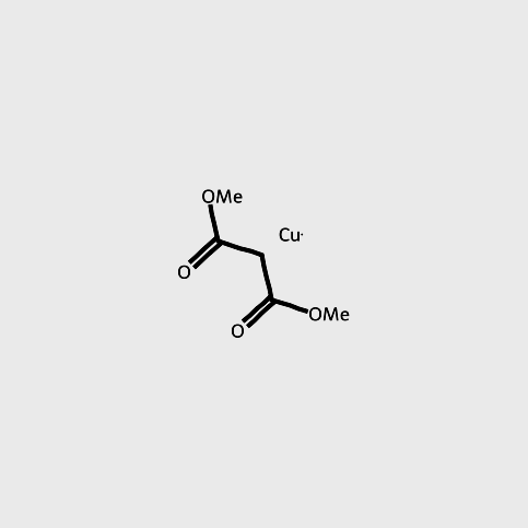 COC(=O)CC(=O)OC.[Cu]